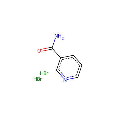 Br.Br.NC(=O)c1cccnc1